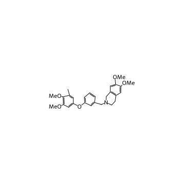 COc1cc2c(cc1OC)CN(Cc1cccc(Oc3cc(C)c(OC)c(OC)c3)c1)CC2